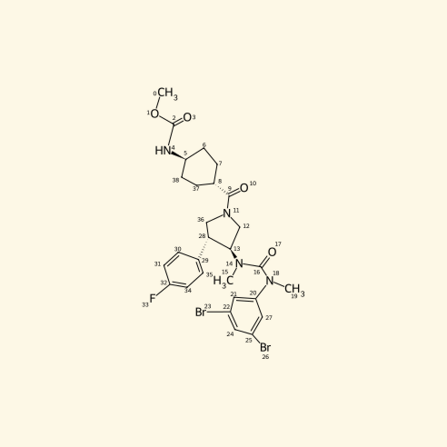 COC(=O)N[C@H]1CC[C@H](C(=O)N2C[C@@H](N(C)C(=O)N(C)c3cc(Br)cc(Br)c3)[C@H](c3ccc(F)cc3)C2)CC1